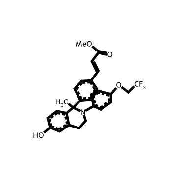 COC(=O)/C=C/c1ccc(C2(C)c3ccc(O)cc3CCN2c2ccc(OCC(F)(F)F)cc2)cc1